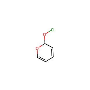 ClOC1C=CC=CO1